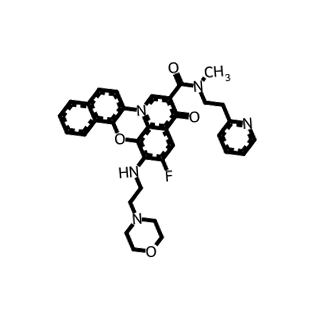 CN(CCc1ccccn1)C(=O)c1cn2c3c(c(NCCN4CCOCC4)c(F)cc3c1=O)Oc1c-2ccc2ccccc12